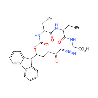 CC(C)CC(NC(=O)OC(CCC(=O)C=[N+]=[N-])C1c2ccccc2-c2ccccc21)C(=O)NC(CC(C)C)C(=O)NCC(=O)O